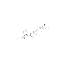 COc1ccc(Cl)c(Oc2c(N)ncnc2OCCC(C)(C)C(O[SiH2]C)O[SiH2]C)c1